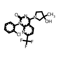 CC1(O)CCN(c2nc(=O)n(-c3ccccc3Cl)c3nc(C(F)(F)F)ccc23)C1